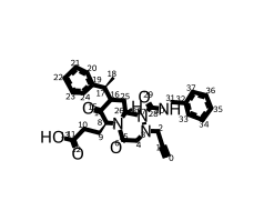 C#CCN1CC(=O)N2[C@@H](CCC(=O)O)C(=O)C([C@H](C)c3ccccc3)C[C@@H]2N1C(=O)NCc1ccccc1